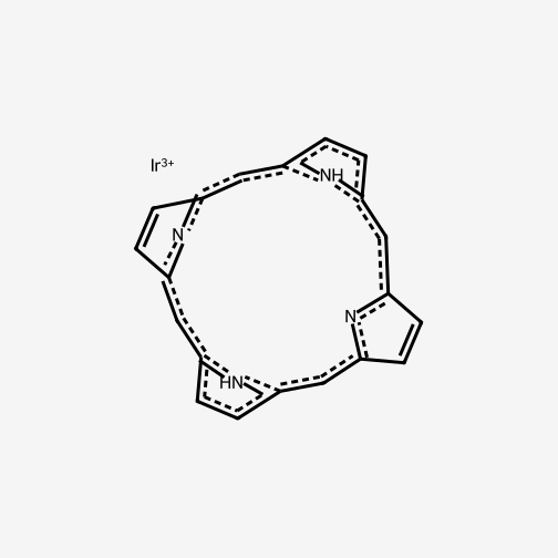 C1=Cc2cc3ccc(cc4nc(cc5ccc(cc1n2)[nH]5)C=C4)[nH]3.[Ir+3]